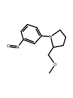 COCC1CCCN1c1cccc(N=O)c1